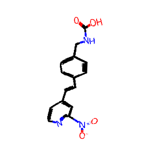 O=C(O)NCc1ccc(C=Cc2ccnc([N+](=O)[O-])c2)cc1